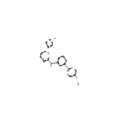 CCOc1cnc(-c2cccc(C(F)c3nn(-c4cnn(C)c4)ccc3=O)c2)nc1